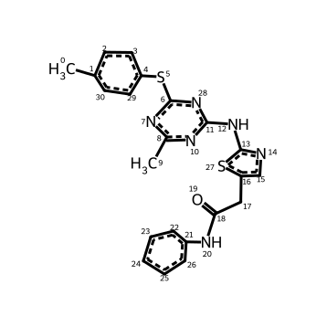 Cc1ccc(Sc2nc(C)nc(Nc3ncc(CC(=O)Nc4ccccc4)s3)n2)cc1